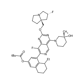 CCC1CCCc2cc(OC(=O)C(C)(C)C)cc(-c3ncc4c(N5CCC[C@@](C)(O)C5)nc(OC[C@@]56CCCN5C[C@H](F)C6)nc4c3F)c21